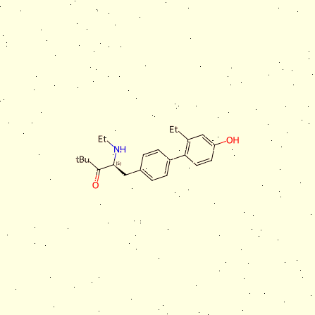 CCN[C@@H](Cc1ccc(-c2ccc(O)cc2CC)cc1)C(=O)C(C)(C)C